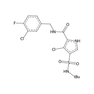 CC(C)(C)NS(=O)(=O)c1c[nH]c(C(=O)NCc2ccc(F)c(Cl)c2)c1Cl